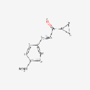 CC(=O)Nc1ccc(/C=C/C(=O)C2CC2)cc1